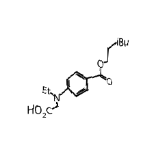 CCC(C)CCOC(=O)c1ccc(N(CC)CC(=O)O)cc1